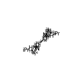 CC(C)CCN1CCCC1c1nc2cc(C#Cc3ccc4[nH]c([C@@H]5CCCN5CCC(C)C)nc4c3)ccc2[nH]1